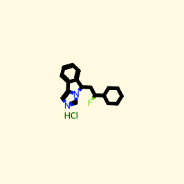 Cl.FC(CC1c2ccccc2-c2cncn21)C1CCCCC1